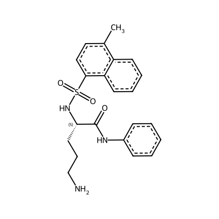 Cc1ccc(S(=O)(=O)N[C@@H](CCCN)C(=O)Nc2ccccc2)c2ccccc12